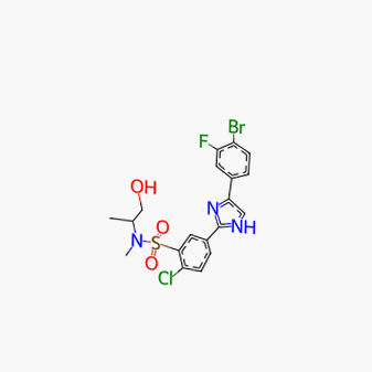 CC(CO)N(C)S(=O)(=O)c1cc(-c2nc(-c3ccc(Br)c(F)c3)c[nH]2)ccc1Cl